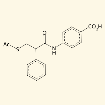 CC(=O)SCC(C(=O)Nc1ccc(C(=O)O)cc1)c1ccccc1